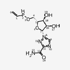 C=CPOC[C@H]1O[C@@H](n2cnc(C(N)=O)n2)[C@H](O)[C@@H]1O